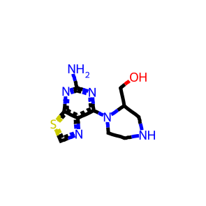 Nc1nc(N2CCNCC2CO)c2ncsc2n1